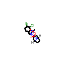 CC(C)(C)OC(=O)N1[C@@H]2CC[C@H]1CC(n1cc3ccc(Br)c(Cl)c3n1)C2